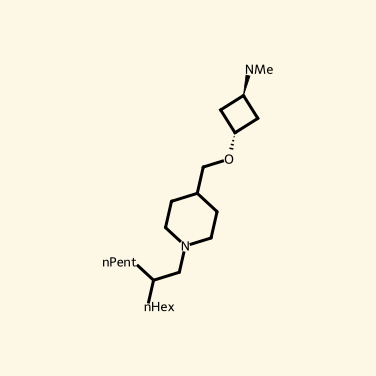 CCCCCCC(CCCCC)CN1CCC(CO[C@H]2C[C@H](NC)C2)CC1